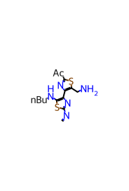 C=Nc1nc(-c2nc(C(C)=O)sc2CN)c(NCCCC)s1